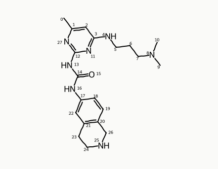 Cc1cc(NCCCN(C)C)nc(NC(=O)Nc2ccc3c(c2)CCNC3)n1